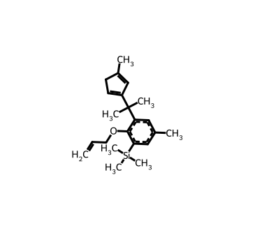 C=CCOc1c(C(C)(C)C2=CCC(C)=C2)cc(C)cc1[Si](C)(C)C